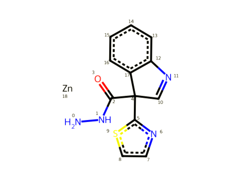 NNC(=O)C1(c2nccs2)C=Nc2ccccc21.[Zn]